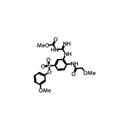 COCC(=O)Nc1ccc(S(=O)(=O)Oc2cccc(OC)c2)cc1NC(=N)NC(=O)OC